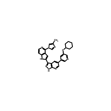 Cc1cn(-c2nccc3[nH]c(-c4n[nH]c5ncc(-c6cncc(OC7CCCCC7)c6)cc45)cc23)cn1